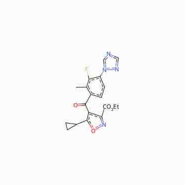 CCOC(=O)c1noc(C2CC2)c1C(=O)c1ccc(-n2cncn2)c(F)c1C